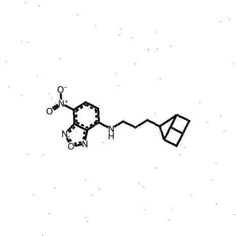 O=[N+]([O-])c1ccc(NCCCC2C3CC4CC2C43)c2nonc12